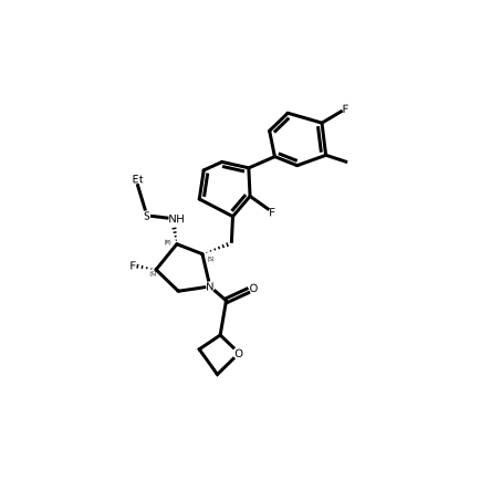 CCSN[C@H]1[C@@H](F)CN(C(=O)C2CCO2)[C@H]1Cc1cccc(-c2ccc(F)c(C)c2)c1F